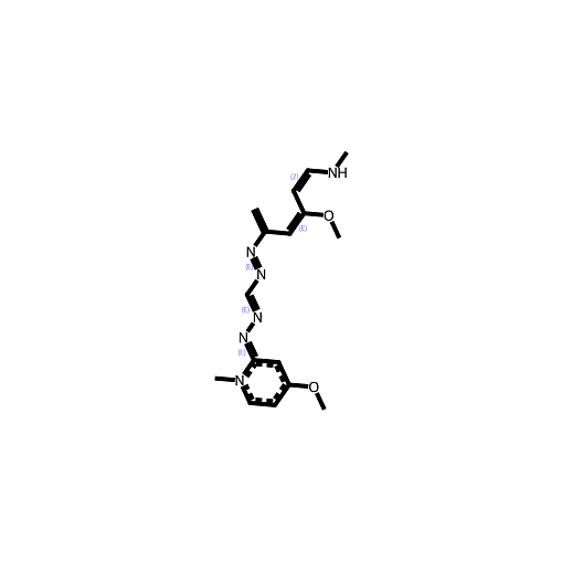 C=C(/C=C(\C=C/NC)OC)/N=N/C=N/N=c1\cc(OC)ccn1C